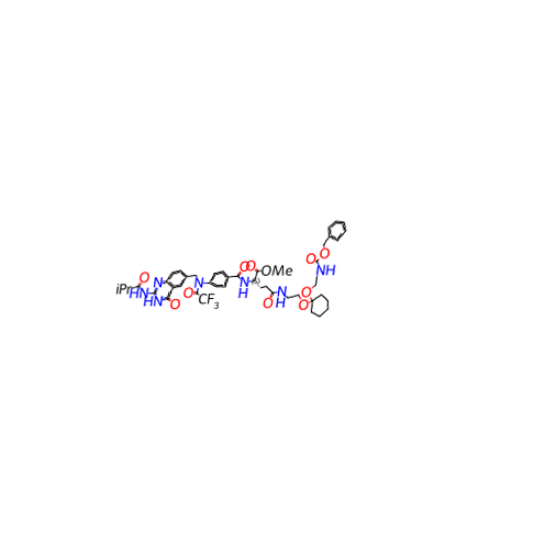 COC(=O)[C@H](CCC(=O)NCCOC1(OCCNC(=O)OCc2ccccc2)CCCCC1)NC(=O)c1ccc(N(Cc2ccc3nc(NC(=O)C(C)C)[nH]c(=O)c3c2)C(=O)C(F)(F)F)cc1